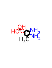 Cc1cccc(N)c1N.O=C(O)O